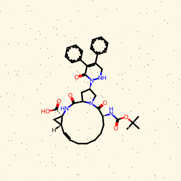 CC(C)(C)OC(=O)N[C@H]1CCCCC/C=C\[C@@H]2C[C@@]2(C(=O)O)NC(=O)C2C[C@@H](N3NCC(c4ccccc4)=C(c4ccccc4)C3=O)CN2C1=O